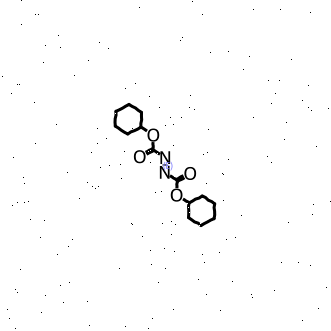 O=C(/N=N/C(=O)OC1CCCCC1)OC1CCCCC1